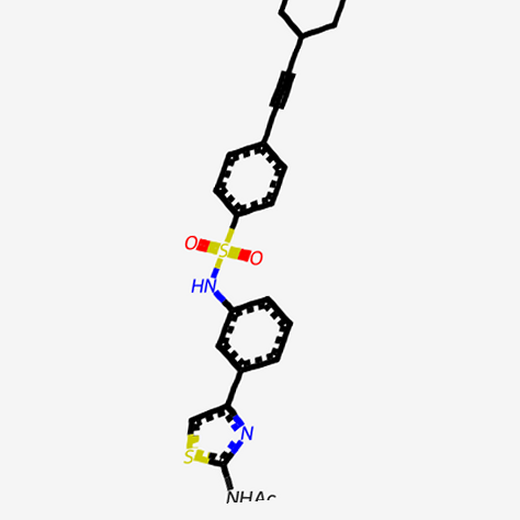 CC(=O)Nc1nc(-c2cccc(NS(=O)(=O)c3ccc(C#CC4CCCCC4)cc3)c2)cs1